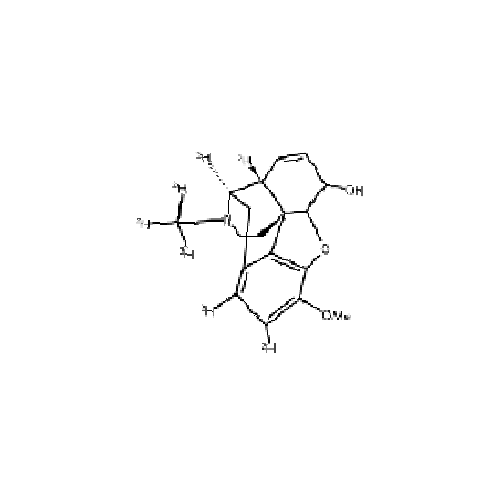 [2H]c1c([2H])c(OC)c2c3c1C[C@@]1([2H])N(C([2H])([2H])[2H])CC[C@@]34C(O2)C(O)C=C[C@]41[2H]